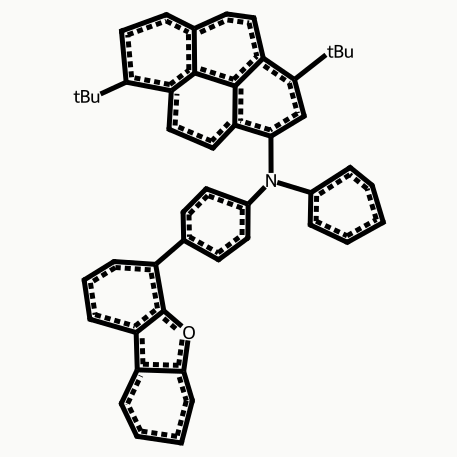 CC(C)(C)c1ccc2ccc3c(C(C)(C)C)cc(N(c4ccccc4)c4ccc(-c5cccc6c5oc5ccccc56)cc4)c4ccc1c2c43